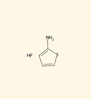 F.Nc1cccs1